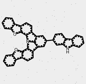 c1ccc2c(c1)[nH]c1cc(-c3cc4c5ccc6c7ccccc7oc6c5n5c4c(c3)c3ccc4c6ccccc6oc4c35)ccc12